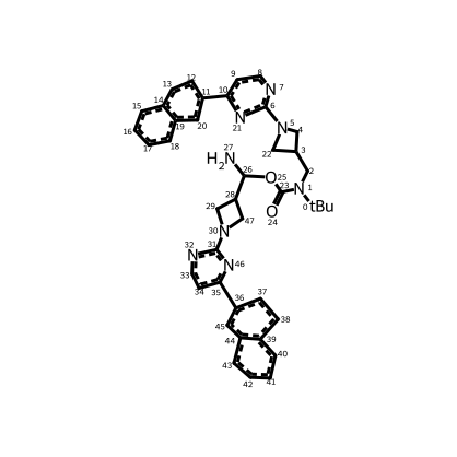 CC(C)(C)N(CC1CN(c2nccc(-c3ccc4ccccc4c3)n2)C1)C(=O)OC(N)C1CN(c2nccc(-c3ccc4ccccc4c3)n2)C1